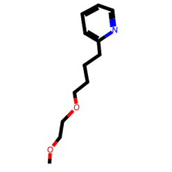 COCCOCCCCc1ccccn1